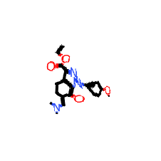 CCOC(=O)c1nn(-c2ccc(OC)cc2)c2c1CCC(=CN(C)C)C2=O